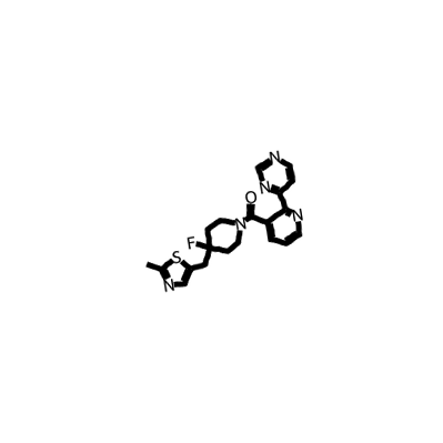 Cc1ncc(CC2(F)CCN(C(=O)c3cccnc3-c3ccncn3)CC2)s1